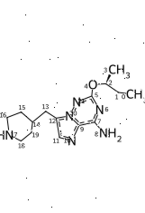 CC[C@H](C)Oc1nc(N)c2ncc(CC3CCNCC3)n2n1